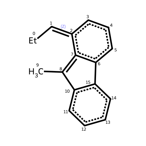 CC/C=c1/cccc2c1=C(C)c1ccccc1-2